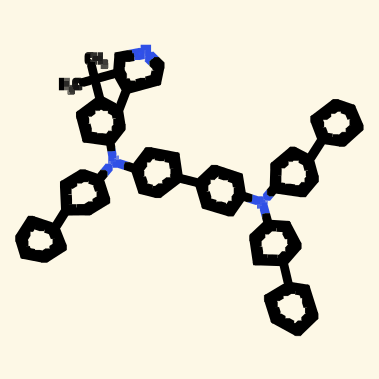 CC1(C)c2ccc(N(c3ccc(-c4ccccc4)cc3)c3ccc(-c4ccc(N(c5ccc(-c6ccccc6)cc5)c5ccc(-c6ccccc6)cc5)cc4)cc3)cc2-c2ccncc21